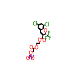 O=C(CO[N+](=O)[O-])OCCOC(=O)C1=Cc2cc(Cl)cc(Cl)c2O[C@@H]1C(F)(F)F